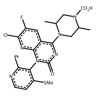 CSc1ccnc(C(C)C)c1-n1c(=O)nc(N2CC(C)N(C(=O)O)CC2C)c2cc(F)c(Cl)nc21